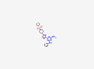 Nc1nc(Nc2ccccc2)nc(-c2noc(C3CCN(S(=O)(=O)C4CCCC4)CC3)n2)n1